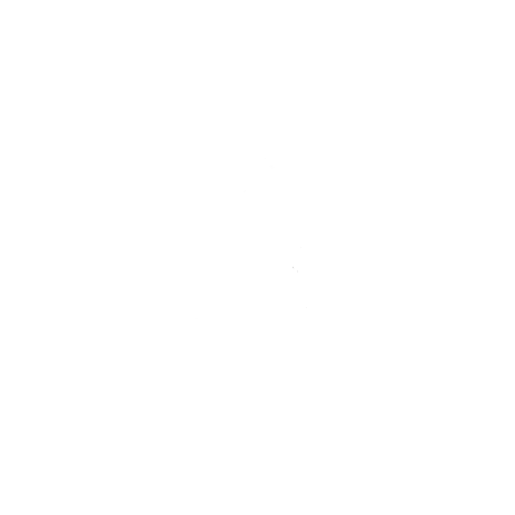 CC(CNC(=O)OCc1ccccc1)C1CCC(C(=O)O)CC1